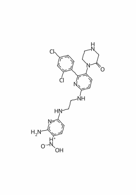 Nc1nc(NCCNc2ccc(N3CCNCC3=O)c(-c3ccc(Cl)cc3Cl)n2)ccc1[NH+]([O-])O